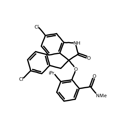 CNC(=O)c1cccc(C(C)C)c1OC1(Cc2cccc(Cl)c2)C(=O)Nc2cc(Cl)ccc21